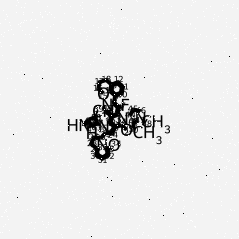 C[C@H](Oc1nc2c(F)c(-c3cccc4c3OCCC4)ncc2c2c1cc(C1CCc3cccc(=O)n31)n2[C@H]1[C@H](C)C2N[C@H]21)[C@@H]1CCCN1C